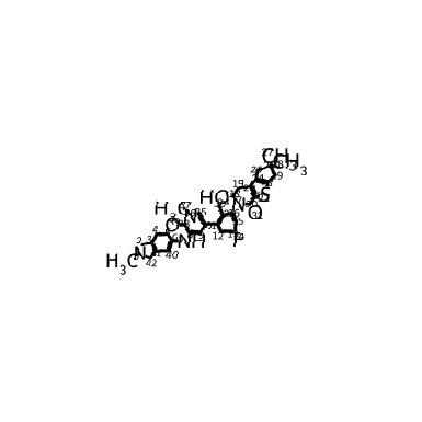 CN1Cc2ccc(Nc3cc(-c4cc(F)cc(N5CCc6c(sc7c6CC(C)(C)C7)C5=O)c4CO)cn(C)c3=O)cc2C1